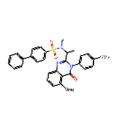 COc1ccc(-n2c(C(C)N(C)S(=O)(=O)c3ccc(-c4ccccc4)cc3)nc3cccc(OC)c3c2=O)cc1